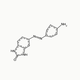 Nc1ccc(N=Nc2ccc3[nH]c(=O)[nH]c3c2)cc1